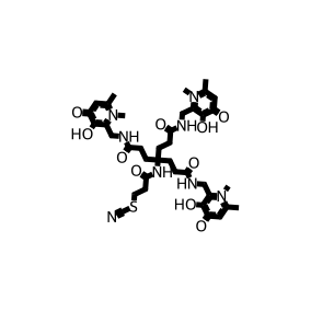 Cc1cc(=O)c(O)c(CNC(=O)CCC(CCC(=O)NCc2c(O)c(=O)cc(C)n2C)(CCC(=O)NCc2c(O)c(=O)cc(C)n2C)NC(=O)CCSC#N)n1C